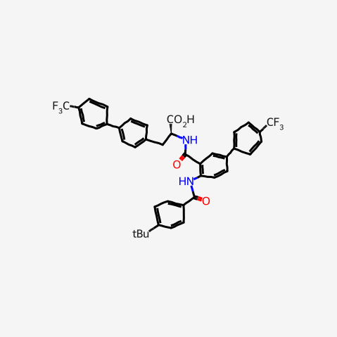 CC(C)(C)c1ccc(C(=O)Nc2ccc(-c3ccc(C(F)(F)F)cc3)cc2C(=O)N[C@@H](Cc2ccc(-c3ccc(C(F)(F)F)cc3)cc2)C(=O)O)cc1